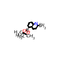 Bc1ccc2c(B3OC(C)(C)C(C)(C)O3)cccc2n1